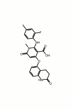 Cn1c(Nc2ccc(I)cc2F)c(C(=O)O)c(Oc2cccc3c2CCC(=O)N3)cc1=O